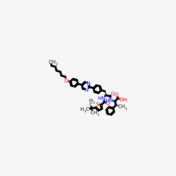 CCCCCCCOc1ccc(-c2cnc(-c3ccc(C[C@H](NC(=O)c4ccc(C(C)(C)C)s4)C(=O)N[C@@H](C(=O)O)[C@H](C)c4ccccc4)cc3)nc2)cc1